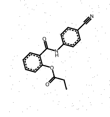 CCC(=O)Oc1ccccc1C(=O)Nc1ccc(C#N)cc1